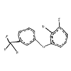 Fc1cccc(Oc2cc[c]c(C(F)(F)F)c2)c1F